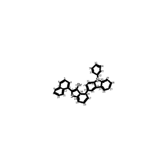 Brc1c(-c2cccc3ccccc23)sc2cccc(-c3ccc4c(c3)c3ccccc3n4-c3ccccc3)c12